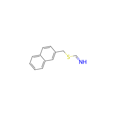 N=CSCc1ccc2ccccc2c1